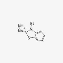 CCn1c(=NN)sc2ccccc21